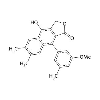 COc1cc(C)cc(-c2c3c(c(O)c4cc(C)c(C)cc24)COC3=O)c1